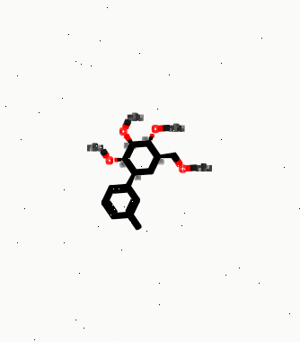 CCCCOC[C@H]1C[C@@H](c2cccc(C)c2)[C@H](OCCCC)[C@@H](OCCCC)[C@@H]1OCCCC